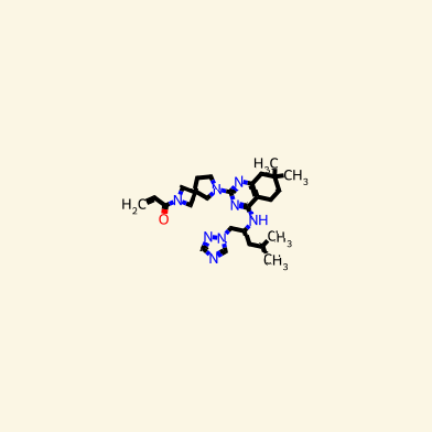 C=CC(=O)N1CC2(CCN(c3nc4c(c(NC(CC(C)C)Cn5cncn5)n3)CCC(C)(C)C4)C2)C1